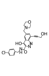 O=C(NCc1ccc(Cl)cc1)c1nnc2c(C#CCO)cc(CN3CCOCC3)cc2c1O